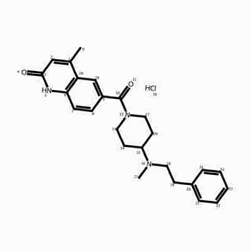 Cc1cc(=O)[nH]c2ccc(C(=O)N3CCC(N(C)CCc4ccccc4)CC3)cc12.Cl